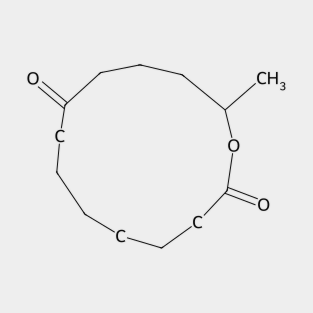 CC1CCCC(=O)CCCCCCC(=O)O1